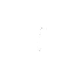 C/C(=C\COc1ccc(OC(C)(C)C(=O)O)cc1)c1ccc(-c2ccc(C(F)(F)F)cc2)cc1